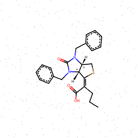 CCCC(C(=O)O)=C1SC[C@@H]2[C@H]1N(Cc1ccccc1)C(=O)N2Cc1ccccc1